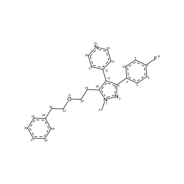 Cn1nc(-c2ccc(F)cc2)c(-c2ccncc2)c1CCOCCc1ccccc1